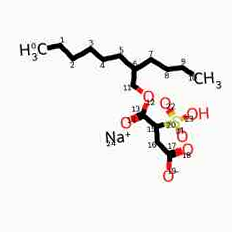 CCCCCCC(CCCC)COC(=O)C(CC(=O)[O-])S(=O)(=O)O.[Na+]